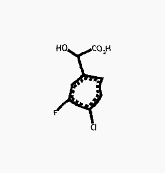 O=C(O)C(O)c1ccc(Cl)c(F)c1